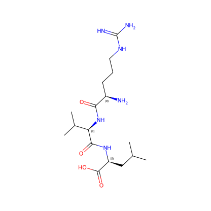 CC(C)C[C@H](NC(=O)[C@H](NC(=O)[C@H](N)CCCNC(=N)N)C(C)C)C(=O)O